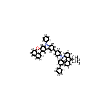 CC1(C)c2ccccc2-c2c(N(c3ccc(-c4ccccc4)cc3)c3ccc(-c4ccc5c(c4)c4cc6c(cc4n5-c4ccccc4)Oc4cccc5cccc-6c45)cc3)cccc21